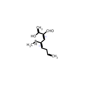 C=CC/C=C(BC)\C=C(\C=O)C(=C)O